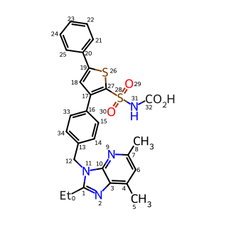 CCc1nc2c(C)cc(C)nc2n1Cc1ccc(-c2cc(-c3ccccc3)sc2S(=O)(=O)NC(=O)O)cc1